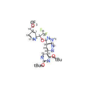 Cn1nc(O[C@@H](c2cc(COC(F)(F)F)ccn2)C(F)F)c2cc(-c3cnc(OC(C)(C)C)nc3OC(C)(C)C)nnc21